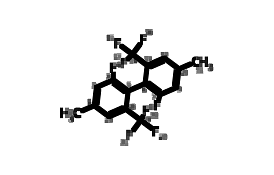 Cc1cc(F)c(-c2c(F)cc(C)cc2C(F)(F)F)c(C(F)(F)F)c1